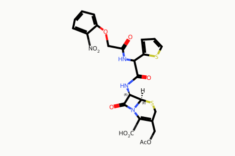 CC(=O)OCC1=C(C(=O)O)N2C(=O)[C@@H](NC(=O)C(NC(=O)COc3ccccc3[N+](=O)[O-])c3cccs3)[C@H]2SC1